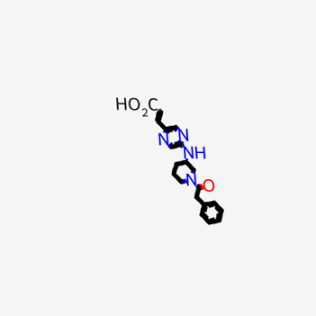 O=C(O)/C=C/c1cnc(N[C@@H]2CCCN(C(=O)Cc3ccccc3)C2)cn1